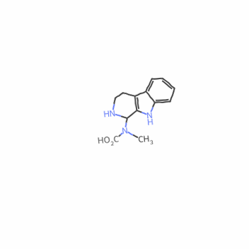 CN(C(=O)O)C1NCCc2c1[nH]c1ccccc21